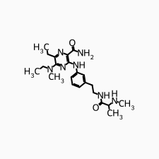 CCc1nc(C(N)=O)c(Nc2cccc(CCNC(=O)C(C)NC)c2)nc1N(C)CC